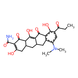 CCC(=O)c1cc(N(C)C)c2c(c1O)C(=O)C1=C(O)C3C(=O)C(C(N)=O)=C(O)CC3CC1C2